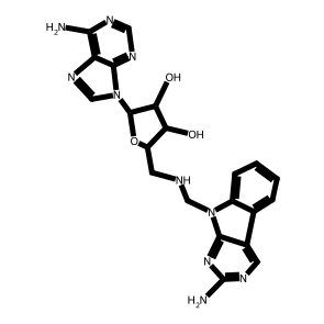 Nc1ncc2c3ccccc3n(CNCC3OC(n4cnc5c(N)ncnc54)C(O)C3O)c2n1